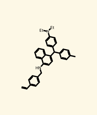 C=Cc1ccc(CNc2ccc(C(c3ccc(C)cc3)c3ccc(N(CC)CC)cc3)c3ccccc23)cc1